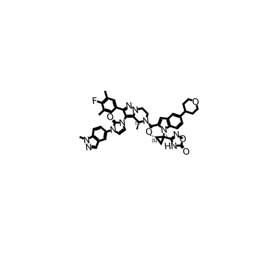 Cc1cc(-c2nn3c(c2-n2ccn(-c4ccc5c(cnn5C)c4)c2=O)[C@H](C)N(C(=O)c2cc4cc(C5CCOCC5)ccc4n2[C@@]2(c4noc(=O)[nH]4)C[C@@H]2C)CC3)cc(C)c1F